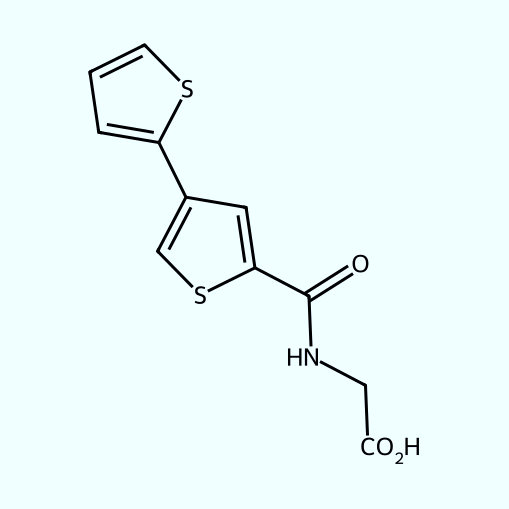 O=C(O)CNC(=O)c1cc(-c2cccs2)cs1